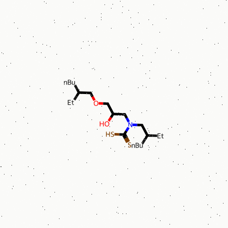 CCCCC(CC)COCC(O)CN(CC(CC)CCCC)C(=S)S